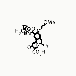 COCCCOc1cc2c(cc1C(=O)NS(=O)(=O)C1(C)CC1)-c1cc(=O)c(C(=O)O)cn1C(C(C)C)C2